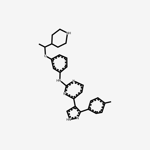 Cc1ccc(-c2n[nH]cc2-c2ccnc(Nc3cccc(OC(C)C4CCNCC4)c3)n2)cc1